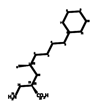 C[C@@H](CCCCC1CCCCC1)C[C@H](CN)C(=O)O